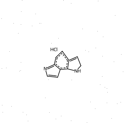 C1=Cc2c3c(ccc2=N1)=CCN3.Cl